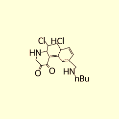 CCCCNCC1=CC2=C3C(=O)C(=O)CNC3C(Cl)CC2C=C1.Cl